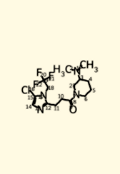 CN(C)C1CCCN(C(=O)CCc2ncc(Cl)n2CC(F)(F)F)C1